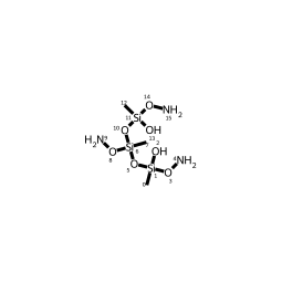 C[Si](O)(ON)O[Si](C)(ON)O[Si](C)(O)ON